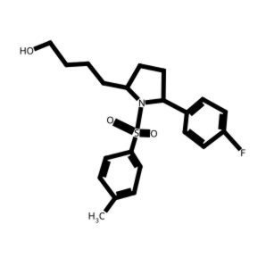 Cc1ccc(S(=O)(=O)N2C(CCCCO)CCC2c2ccc(F)cc2)cc1